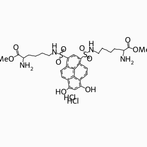 COC(=O)C(N)CCCCNS(=O)(=O)c1cc(S(=O)(=O)NCCCCC(N)C(=O)OC)c2ccc3c(O)cc(O)c4ccc1c2c43.Cl.Cl